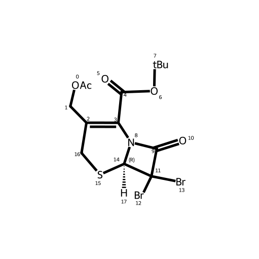 CC(=O)OCC1=C(C(=O)OC(C)(C)C)N2C(=O)C(Br)(Br)[C@H]2SC1